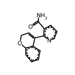 NC(=O)c1cccnc1C1=CCOc2ccccc21